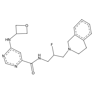 O=C(NCC(F)CN1CCc2ccccc2C1)c1cc(NC2COC2)ncn1